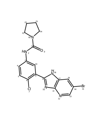 O=C(Nc1ccc(Cl)c(-c2nc3ncc(Br)cc3[nH]2)c1)N1CCCC1